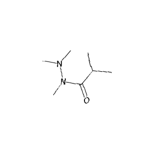 CC(C)C(=O)N(C)N(C)C